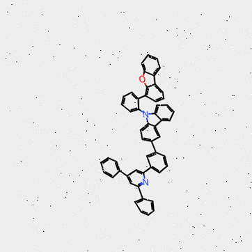 c1ccc(-c2cc(-c3ccccc3)nc(-c3cccc(-c4ccc5c(c4)c4ccccc4n5-c4ccccc4-c4cccc5c4oc4ccccc45)c3)c2)cc1